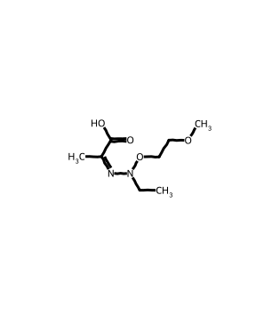 CCN(N=C(C)C(=O)O)OCCOC